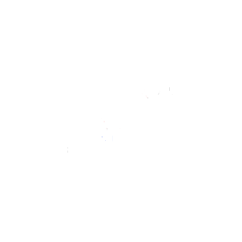 C=CC(=O)OCCCOC(=O)NCCC